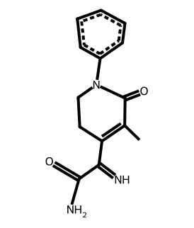 CC1=C(C(=N)C(N)=O)CCN(c2ccccc2)C1=O